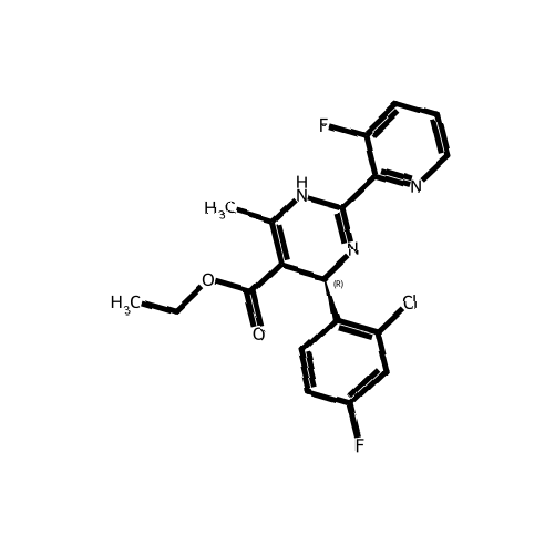 CCOC(=O)C1=C(C)NC(c2ncccc2F)=N[C@H]1c1ccc(F)cc1Cl